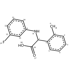 Cc1ccccc1C(Nc1cccc(F)c1)C(=O)O